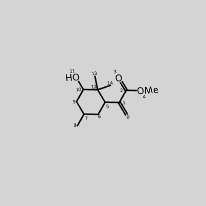 C=C(C(=O)OC)C1CC(C)CC(O)C1(C)C